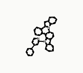 c1ccc(-c2ccnc(-n3c4ccccc4c4ccc5c(c6ccccc6c6cc7ccccc7n65)c43)c2)cc1